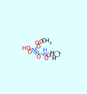 COCC(=O)OCC1CN(C(=O)CCNC(=O)OC[C@@H]2[C@@H]3CCC#CCC[C@@H]32)CCN1CC(=O)O